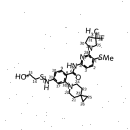 CSc1ccc(NC(=O)c2ccc(NSCCO)cc2N2CCC3(CC2)CC3)nc1N1CCC(C)(F)C1